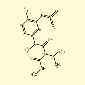 CNC(=S)N(C(=O)C(C)c1ccc(C)c(N=S(=O)=O)c1)C(C)C